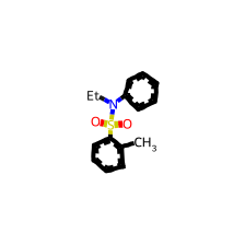 CCN(c1ccccc1)S(=O)(=O)c1ccccc1C